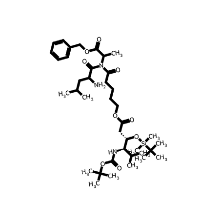 CC(C)CC(N)C(=O)N(C(=O)CCCCOC(=O)C[C@H](O[Si](C)(C)C(C)(C)C)[C@H](NC(=O)OC(C)(C)C)C(C)C)C(C)C(=O)OCc1ccccc1